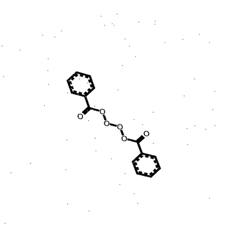 O=C(OOOOC(=O)c1ccccc1)c1ccccc1